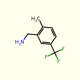 Cc1ccc(C(F)(F)F)cc1CN